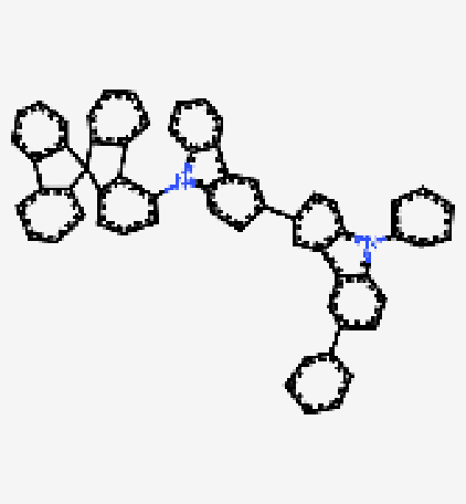 c1ccc(-c2ccc3c(c2)c2cc(-c4ccc5c(c4)c4ccccc4n5-c4cccc5c4-c4ccccc4C54c5ccccc5-c5ccccc54)ccc2n3-c2ccccc2)cc1